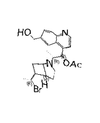 CC(=O)O[C@H](c1ccnc2ccc(CO)cc12)[C@@H](C)N1CC[C@H]2C([C@@H](C)Br)CC21